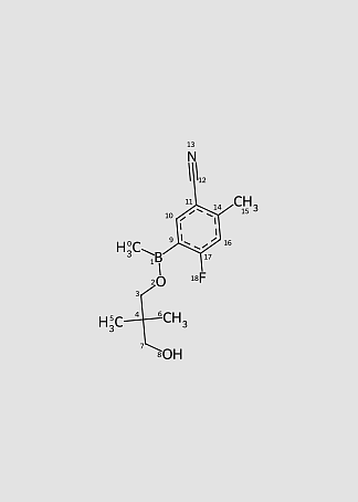 CB(OCC(C)(C)CO)c1cc(C#N)c(C)cc1F